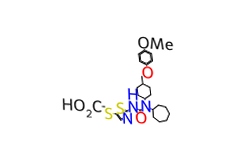 COc1ccc(OCC2CCC(N(C(=O)Nc3ncc(SCC(=O)O)s3)C3CCCCCC3)CC2)cc1